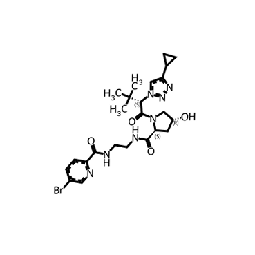 CC(C)(C)[C@@H](C(=O)N1C[C@H](O)C[C@H]1C(=O)NCCNC(=O)c1ccc(Br)cn1)n1cc(C2CC2)nn1